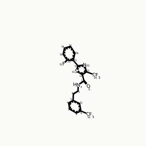 O=C(NCCc1cccc(C(F)(F)F)c1)c1sc(-c2ccccc2F)nc1C(F)(F)F